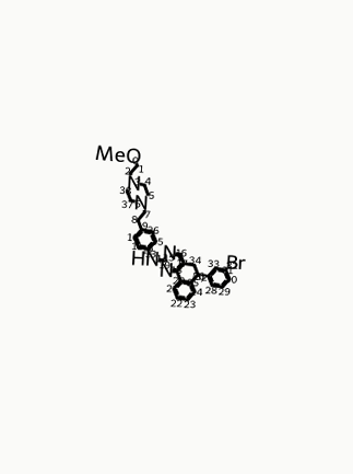 COCCN1CCN(CCc2ccc(Nc3ncc4c(n3)-c3ccccc3[C@H](c3cccc(Br)c3)C4)cc2)CC1